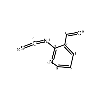 O=Cc1cccnc1N=C=S